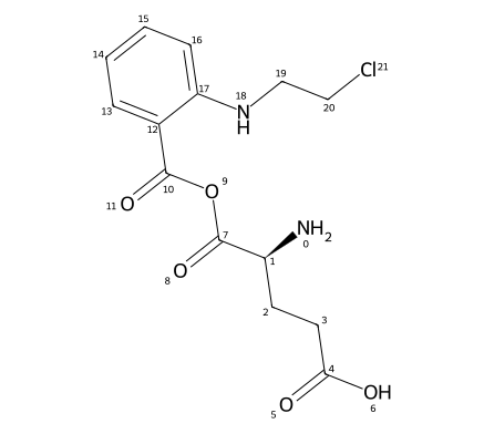 N[C@@H](CCC(=O)O)C(=O)OC(=O)c1ccccc1NCCCl